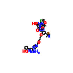 Cc1ncsc1-c1ccc(CNC(=O)[C@@H]2C[C@@H](O)CN2C(=O)[C@@H](NC(=O)C2(F)CC2)C(C)(C)C)c(OCCCCOCCN2CCN(c3cc(-c4ccccc4O)nnc3N)CC2)c1